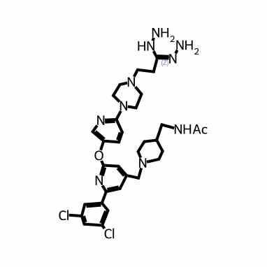 CC(=O)NCC1CCN(Cc2cc(Oc3ccc(N4CCN(CC/C(=N/N)NN)CC4)nc3)nc(-c3cc(Cl)cc(Cl)c3)c2)CC1